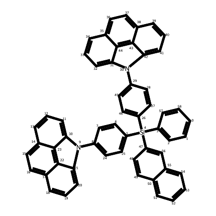 c1ccc([Si](c2ccc(-n3c4cccc5ccc6cccc3c6c54)cc2)(c2ccc(-n3c4cccc5ccc6cccc3c6c54)cc2)c2ccc3ccccc3c2)cc1